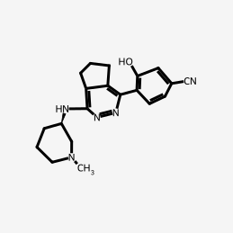 CN1CCC[C@@H](Nc2nnc(-c3ccc(C#N)cc3O)c3c2CCC3)C1